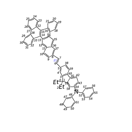 CCC1(CC)c2cc(/C=C/c3ccc4cc(-c5c(-c6ccccc6)c6ccccc6c6ccccc56)ccc4c3)ccc2-c2ccc(N(C3=CCCC=C3)c3ccccc3)cc21